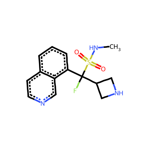 CNS(=O)(=O)C(F)(c1cccc2ccncc12)C1CNC1